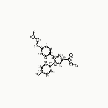 COOSc1ccc(-n2nc(C(=O)OC)cc2-c2ccc(C)cc2)cc1